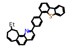 CCC1CC=Cc2ccc3ccc(-c4ccc(-c5cccc6c5sc5ccccc56)cc4)nc3c2C1